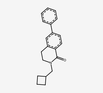 O=C1c2ccc(-c3ccccc3)cc2CCN1CC1CCC1